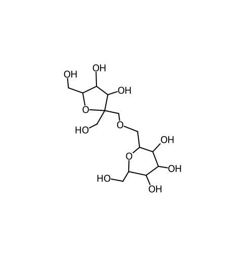 OCC1OC(COCC2(CO)OC(CO)C(O)C2O)C(O)C(O)C1O